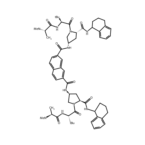 CN[C@@H](C)C(=O)N[C@H](C(=O)N1C[C@@H](NC(=O)c2ccc3ccc(C(=O)N[C@H]4C[C@@H](C(=O)NC5CCCc6ccccc65)N(C(=O)[C@@H](NC(=O)[C@H](C)NC)C(C)(C)C)C4)cc3c2)C[C@H]1C(=O)NC1CCCc2ccccc21)C(C)(C)C